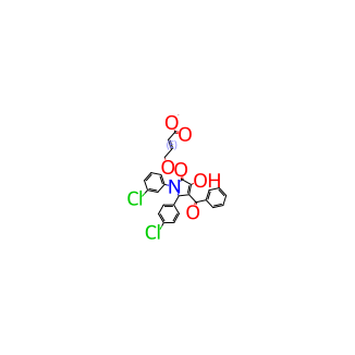 COC(=O)/C=C/COc1ccc(Cl)cc1N1C(=O)C(O)=C(C(=O)c2ccccc2)C1c1ccc(Cl)cc1